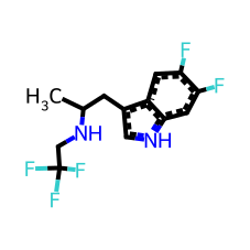 CC(Cc1c[nH]c2cc(F)c(F)cc12)NCC(F)(F)F